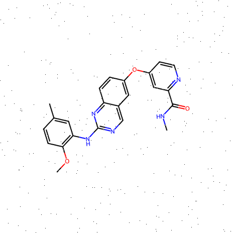 CNC(=O)c1cc(Oc2ccc3nc(Nc4cc(C)ccc4OC)ncc3c2)ccn1